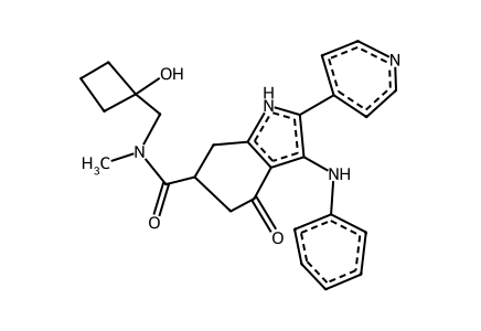 CN(CC1(O)CCC1)C(=O)C1CC(=O)c2c([nH]c(-c3ccncc3)c2Nc2ccccc2)C1